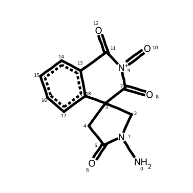 NN1CC2(CC1=O)C(=O)[N+](=O)C(=O)c1ccccc12